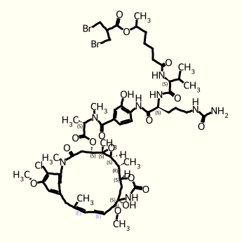 COc1cc2cc(c1Cl)N(C)C(=O)C[C@H](OC(=O)[C@H](C)N(C)C(=O)c1ccc(NC(=O)[C@H](CCCNC(N)=O)NC(=O)[C@@H](NC(=O)CCCCC(C)OC(=O)C(CBr)CBr)C(C)C)c(O)c1)[C@]1(C)O[C@H]1[C@H](C)[C@@H]1C[C@@](O)(NC(=O)O1)[C@H](OC)/C=C/C=C(\C)C2